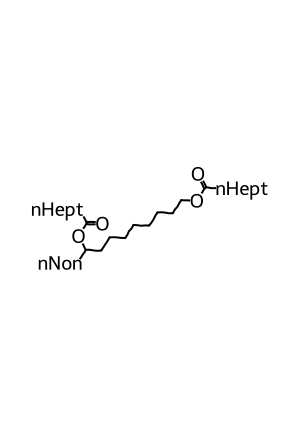 CCCCCCCCCC(CCCCCCCCOC(=O)CCCCCCC)OC(=O)CCCCCCC